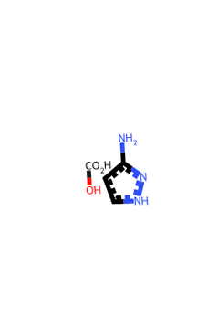 Nc1cc[nH]n1.O=C(O)O